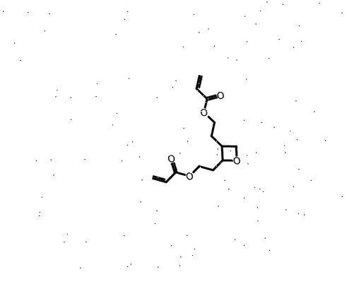 C=CC(=O)OCCC1COC1CCOC(=O)C=C